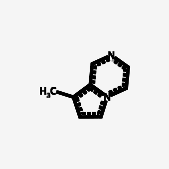 Cc1ccn2ccncc12